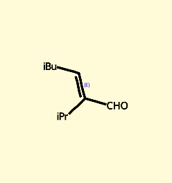 CCC(C)/C=C(/C=O)C(C)C